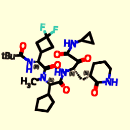 CN(C(=O)[C@H](NC(=O)C(C)(C)C)C1CC(F)(F)C1)[C@H](C(=O)N[C@@H](C[C@@H]1CCCNC1=O)C(=O)C(=O)NC1CC1)C1CCCC1